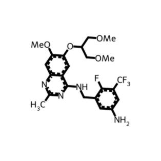 COCC(COC)Oc1cc2c(NCc3cc(N)cc(C(F)(F)F)c3F)nc(C)nc2cc1OC